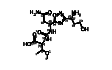 COC(C)[C@H](NC(=O)N[C@@H](CC(N)=O)c1nc([C@@H](N)CCO)no1)C(=O)O